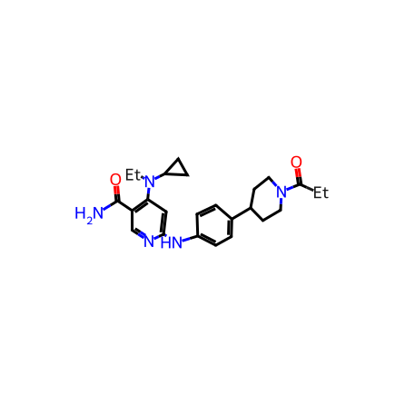 CCC(=O)N1CCC(c2ccc(Nc3cc(N(CC)C4CC4)c(C(N)=O)cn3)cc2)CC1